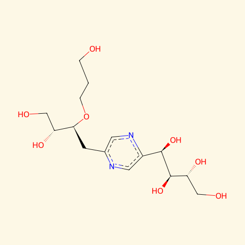 OCCCO[C@@H](Cc1cnc([C@@H](O)[C@H](O)[C@H](O)CO)cn1)[C@H](O)CO